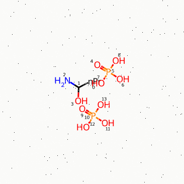 CCCC(N)O.O=P(O)(O)O.O=P(O)(O)O